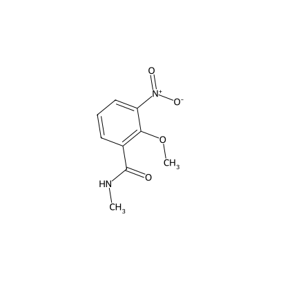 CNC(=O)c1cccc([N+](=O)[O-])c1OC